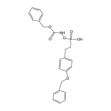 O=C(NOP(=O)(O)CCc1ccc(OCc2ccccc2)cc1)OCc1ccccc1